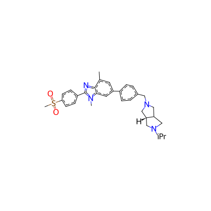 Cc1cc(-c2ccc(CN3CC4CN(C(C)C)C[C@@H]4C3)cc2)cc2c1nc(-c1ccc(S(C)(=O)=O)cc1)n2C